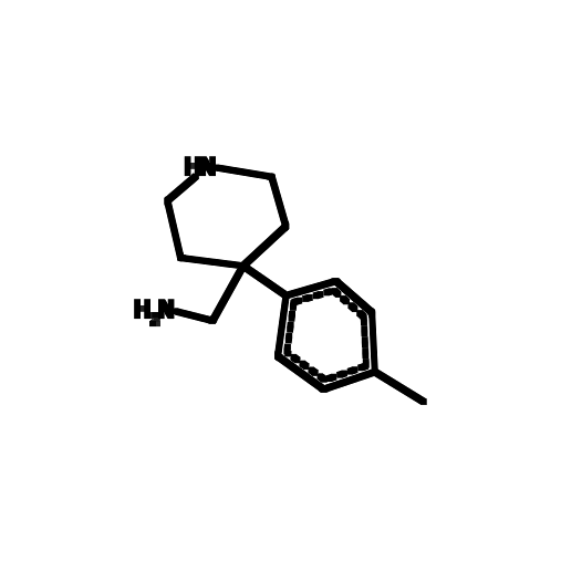 Cc1ccc(C2(CN)CCNCC2)cc1